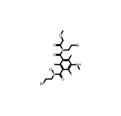 CNc1c(I)c(C(=O)N(Cl)CCBr)c(I)c(C(=O)N(CCBr)C(=O)COC)c1I